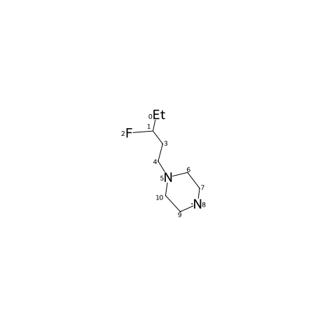 CCC(F)CCN1CC[N]CC1